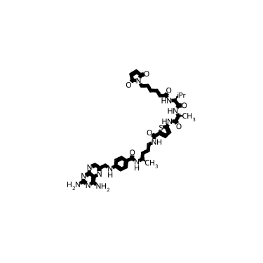 CC(C)[C@H](NC(=O)CCCCCN1C(=O)C=CC1=O)C(=O)N[C@@H](C)C(=O)Nc1ccc(C(=O)NCCC[C@@H](C)NC(=O)c2ccc(NCc3cnc4nc(N)nc(N)c4n3)cc2)s1